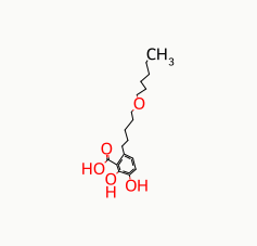 CCCCCCOCCCCCc1ccc(O)c(O)c1C(=O)O